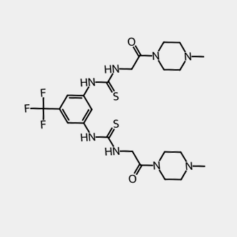 CN1CCN(C(=O)CNC(=S)Nc2cc(NC(=S)NCC(=O)N3CCN(C)CC3)cc(C(F)(F)F)c2)CC1